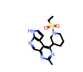 CCS(=O)(=O)N1CCCC(c2nc(C)nc3cnc4[nH]ccc4c23)C1